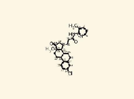 Cc1cccnc1NC(=O)CC[C@@H]1CC(=O)[C@@]2(C)CCC3c4ccc(Cl)cc4CCC3C12